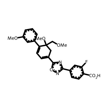 COCC1(OC)CC(c2nc(-c3ccc(C(=O)O)c(F)c3)no2)=CC=C1c1cccc(OC)c1